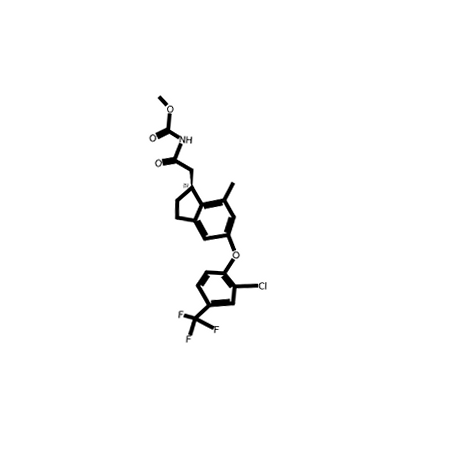 COC(=O)NC(=O)C[C@@H]1CCc2cc(Oc3ccc(C(F)(F)F)cc3Cl)cc(C)c21